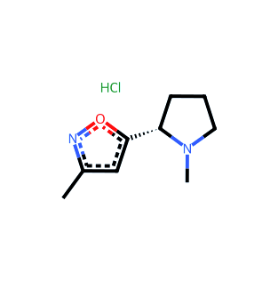 Cc1cc([C@@H]2CCCN2C)on1.Cl